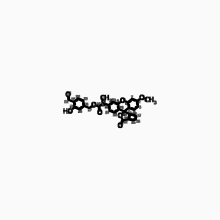 COc1ccc2c(c1)Oc1cc(N(C)C(=O)OCc3ccc(C=O)c(O)c3)ccc1C21OC(=O)c2ccccc21